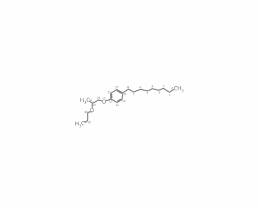 CCCCCCCCCc1ccc(OCC(C)OCCC)cc1